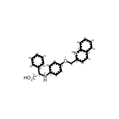 O=C(O)[C@@H](Nc1ccc(OCc2ccc3ccccc3n2)cc1)c1ccccc1